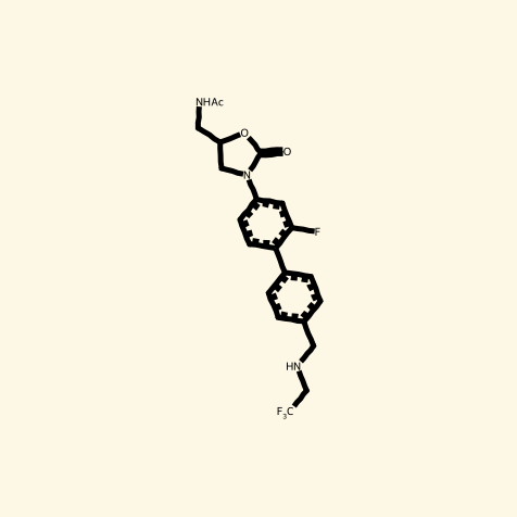 CC(=O)NCC1CN(c2ccc(-c3ccc(CNCC(F)(F)F)cc3)c(F)c2)C(=O)O1